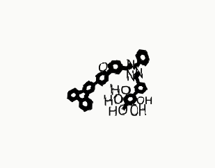 Oc1c(O)c(O)c(-c2cccc(-c3nc(-c4ccccc4)nc(-c4ccc5oc6cc(-c7ccc8c9ccccc9c9ccccc9c8c7)ccc6c5c4)n3)c2)c(O)c1O